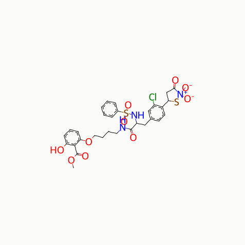 COC(=O)c1c(O)cccc1OCCCCNC(=O)C(Cc1ccc(C2CC(=O)[N+]([O-])([O-])S2)c(Cl)c1)NS(=O)(=O)c1ccccc1